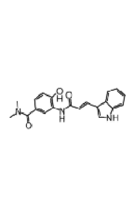 CN(C)C(=O)c1ccc(O)c(NC(=O)C=Cc2c[nH]c3ccccc23)c1